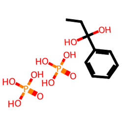 CCC(O)(O)c1ccccc1.O=P(O)(O)O.O=P(O)(O)O